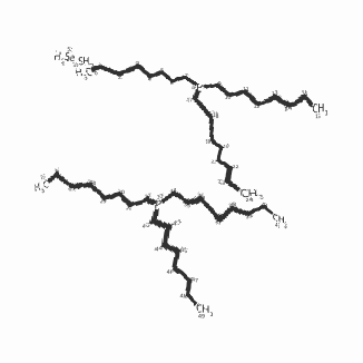 CCCCCCCCP(CCCCCCCC)CCCCCCCC.CCCCCCCCP(CCCCCCCC)CCCCCCCC.S.[SeH2]